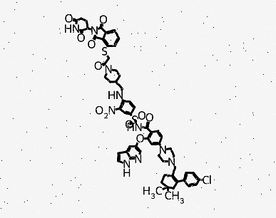 CC1(C)CCC(CN2CCN(c3ccc(C(=O)NS(=O)(=O)c4ccc(NCC5CCN(C(=O)CSc6cccc7c6C(=O)N(C6CCC(=O)NC6=O)C7=O)CC5)c([N+](=O)[O-])c4)c(Oc4cnc5[nH]ccc5c4)c3)CC2)=C(c2ccc(Cl)cc2)C1